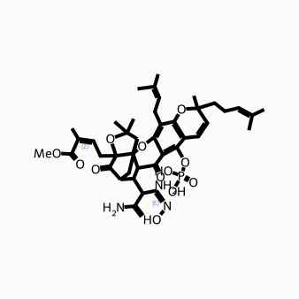 C=C(N)C(/C(N)=N\O)C1C2CC3C(C)(C)OC(C/C=C(/C)C(=O)OC)(C2=O)C32Oc3c(CC=C(C)C)c4c(c(OP(=O)(O)O)c3C(=O)C12)C=CC(C)(CCC=C(C)C)O4